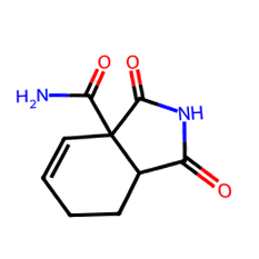 NC(=O)C12C=CCCC1C(=O)NC2=O